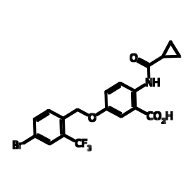 O=C(O)c1cc(OCc2ccc(Br)cc2C(F)(F)F)ccc1NC(=O)C1CC1